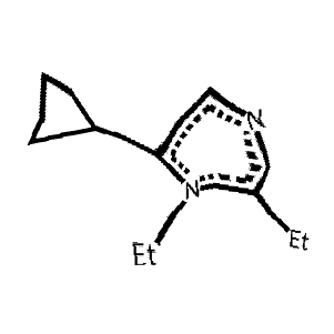 CCc1ncc(C2CC2)n1CC